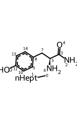 CCCCCCCC.NC(=O)[C@@H](N)Cc1ccc(O)cc1